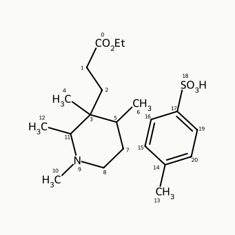 CCOC(=O)CCC1(C)C(C)CCN(C)C1C.Cc1ccc(S(=O)(=O)O)cc1